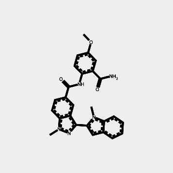 COc1ccc(NC(=O)c2ccc3c(c2)c(-c2cc4ccccc4n2C)nn3C)c(C(N)=O)c1